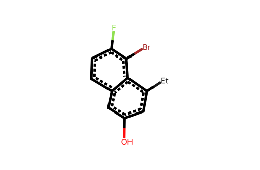 CCc1cc(O)cc2ccc(F)c(Br)c12